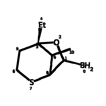 BC1O[C@@]2(CC)CCSC1C2C